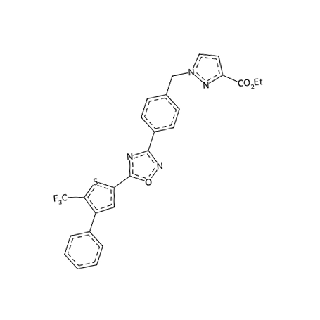 CCOC(=O)c1ccn(Cc2ccc(-c3noc(-c4cc(-c5ccccc5)c(C(F)(F)F)s4)n3)cc2)n1